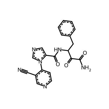 N#Cc1cnccc1-n1cncc1C(=O)NC(Cc1ccccc1)C(=O)C(N)=O